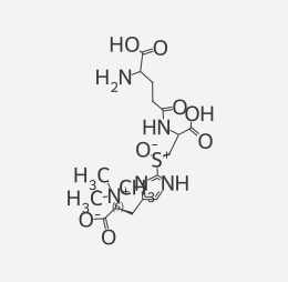 C[N+](C)(C)[C@@H](Cc1c[nH]c([S+]([O-])CC(NC(=O)CCC(N)C(=O)O)C(=O)O)n1)C(=O)[O-]